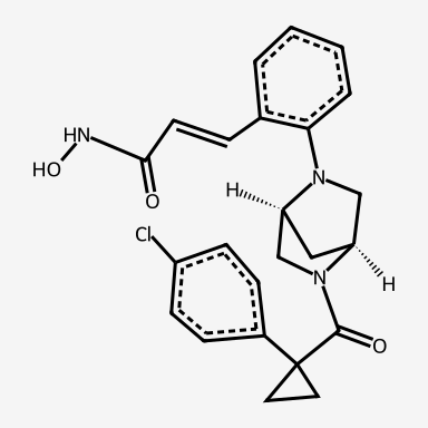 O=C(/C=C/c1ccccc1N1C[C@@H]2C[C@H]1CN2C(=O)C1(c2ccc(Cl)cc2)CC1)NO